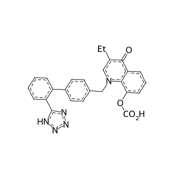 CCc1cn(Cc2ccc(-c3ccccc3-c3nnn[nH]3)cc2)c2c(OC(=O)O)cccc2c1=O